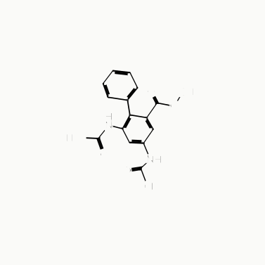 COC(=O)c1cc(NC(C)=O)cc(NC(C)=O)c1-c1ccccc1